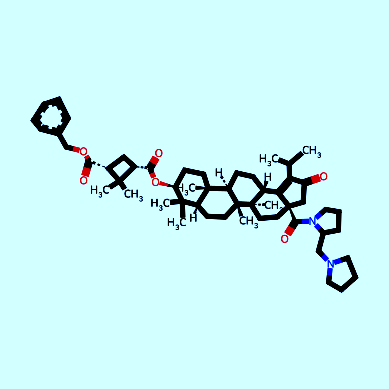 CC(C)C1=C2[C@H]3CC[C@@H]4[C@@]5(C)CC[C@H](OC(=O)[C@H]6C[C@@H](C(=O)OCc7ccccc7)C6(C)C)C(C)(C)[C@@H]5CC[C@@]4(C)[C@]3(C)CC[C@@]2(C(=O)N2CCCC2CN2CCCC2)CC1=O